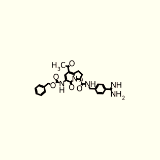 CC(=O)c1cc(NC(=O)OCc2ccccc2)c(=O)n2c1CC[C@H]2C(=O)NCc1ccc(C(=N)N)cc1